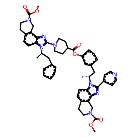 COC(=O)N1CCc2ccc3c(nc(-c4ccncc4)n3[C@H](C)Cc3cccc(OC(=O)C4CCN(c5nc6c7c(ccc6n5[C@H](C)Cc5ccccc5)CCN(C(=O)OC)C7)CC4)c3)c2C1